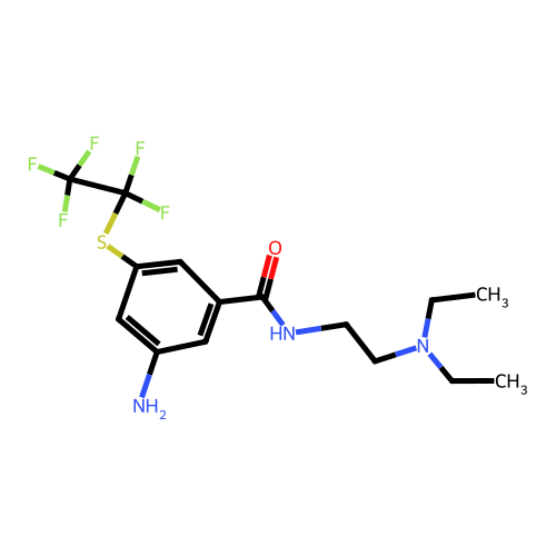 CCN(CC)CCNC(=O)c1cc(N)cc(SC(F)(F)C(F)(F)F)c1